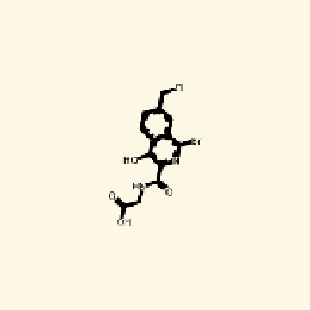 O=C(O)CNC(=O)c1nc(Br)c2cc(CCl)ccc2c1O